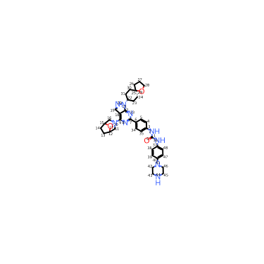 O=C(Nc1ccc(-c2nc(N3CC4CCC(C3)O4)c3cnn([C@H]4CC[C@@]5(CCCO5)CC4)c3n2)cc1)Nc1ccc(N2CCNCC2)cc1